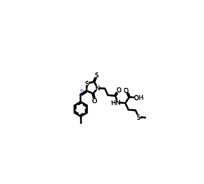 CSCCC(NC(=O)CCN1C(=O)/C(=C\c2ccc(C)cc2)SC1=S)C(=O)O